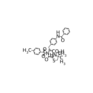 Cc1ccc(S(=O)(=O)N(C(=O)[C@H]2NC(C)(C)CS2)[C@@H](Cc2ccc(NC(=O)c3ccccc3)cc2)C(=O)O)cc1